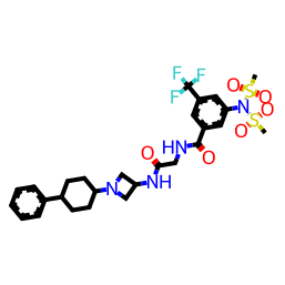 CS(=O)(=O)N(c1cc(C(=O)NCC(=O)NC2CN(C3CCC(c4ccccc4)CC3)C2)cc(C(F)(F)F)c1)S(C)(=O)=O